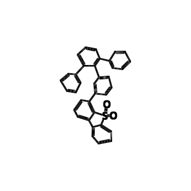 O=S1(=O)c2ccccc2-c2cccc(-c3cccc(-c4c(-c5ccccc5)cccc4-c4ccccc4)c3)c21